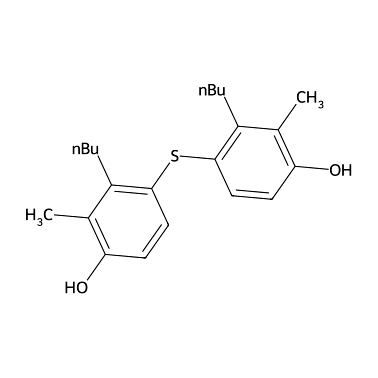 CCCCc1c(Sc2ccc(O)c(C)c2CCCC)ccc(O)c1C